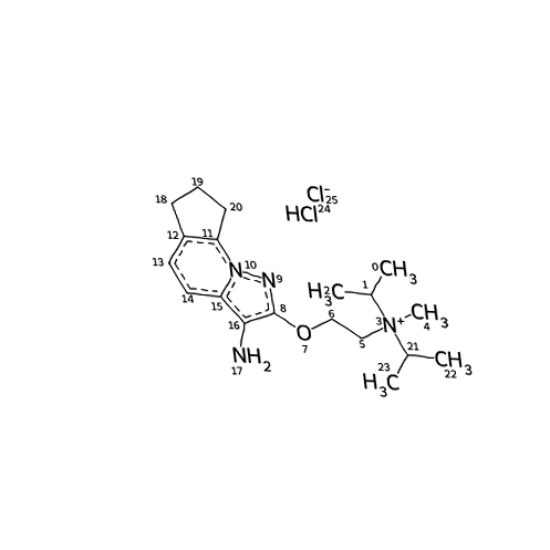 CC(C)[N+](C)(CCOc1nn2c3c(ccc2c1N)CCC3)C(C)C.Cl.[Cl-]